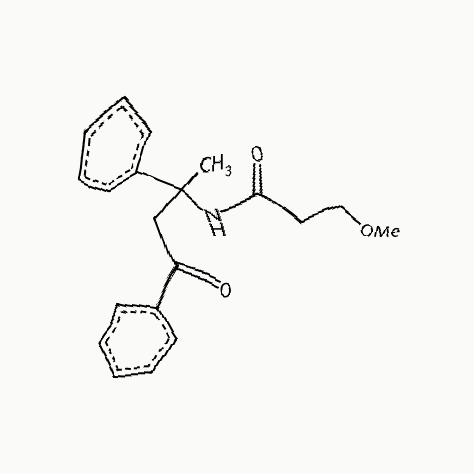 COCCC(=O)NC(C)(CC(=O)c1ccccc1)c1ccccc1